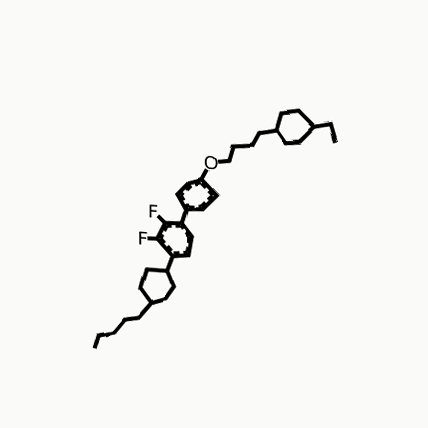 CCCCCC1CCC(c2ccc(-c3ccc(OCCCCC4CCC(CC)CC4)cc3)c(F)c2F)CC1